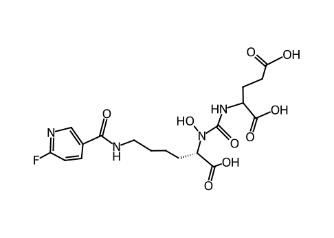 O=C(O)CCC(NC(=O)N(O)[C@@H](CCCCNC(=O)c1ccc(F)nc1)C(=O)O)C(=O)O